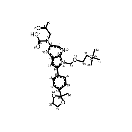 CC(=O)CN(C(=O)O)c1cnc2c(cc(-c3ccc(C4(C)OCCO4)cc3)n2COCC[Si](C)(C)C)n1